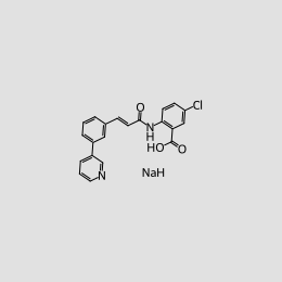 O=C(/C=C/c1cccc(-c2cccnc2)c1)Nc1ccc(Cl)cc1C(=O)O.[NaH]